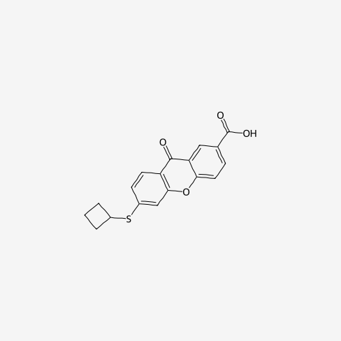 O=C(O)c1ccc2oc3cc(SC4CCC4)ccc3c(=O)c2c1